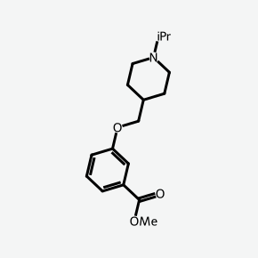 COC(=O)c1cccc(OCC2CCN(C(C)C)CC2)c1